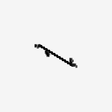 CCCCCCC(CCCCCCCCCCCCCCCCC(N)CC)N=[N+]=[N-]